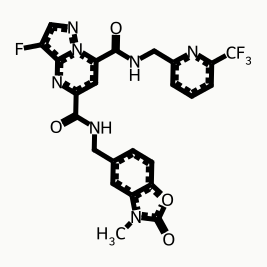 Cn1c(=O)oc2ccc(CNC(=O)c3cc(C(=O)NCc4cccc(C(F)(F)F)n4)n4ncc(F)c4n3)cc21